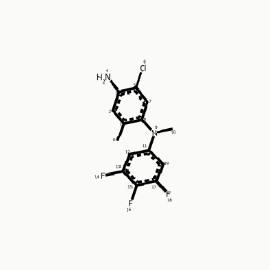 Cc1cc(N)c(Cl)cc1N(C)c1cc(F)c(F)c(F)c1